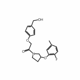 Cc1ccc(F)c(OC2CCN(C(=O)COc3ccc(CO)cc3)C2)c1